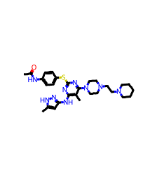 CC(=O)Nc1ccc(Sc2nc(Nc3cc(C)[nH]n3)c(C)c(N3CCN(CCN4CCCCC4)CC3)n2)cc1